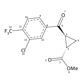 COC(=O)[C@H]1C[C@@H]1C(=O)c1ccc(C(F)(F)F)c(Cl)c1